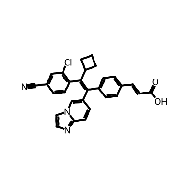 N#Cc1ccc(C(=C(c2ccc(C=CC(=O)O)cc2)c2ccc3nccn3c2)C2CCC2)c(Cl)c1